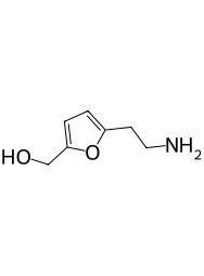 NCCc1ccc(CO)o1